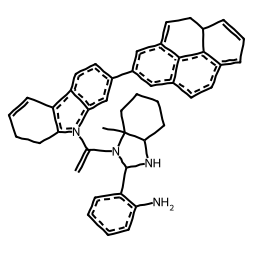 C=C(N1C(c2ccccc2N)NC2CCCCC21C)n1c2c(c3ccc(-c4cc5c6c7c(ccc6c4)=CC=CC7CC=5)cc31)C=CCC2